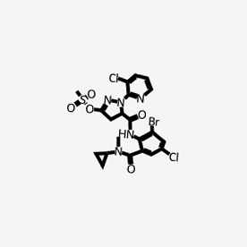 CN(C(=O)c1cc(Cl)cc(Br)c1NC(=O)C1CC(OS(C)(=O)=O)=NN1c1ncccc1Cl)C1CC1